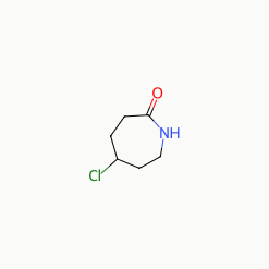 O=C1CCC(Cl)CCN1